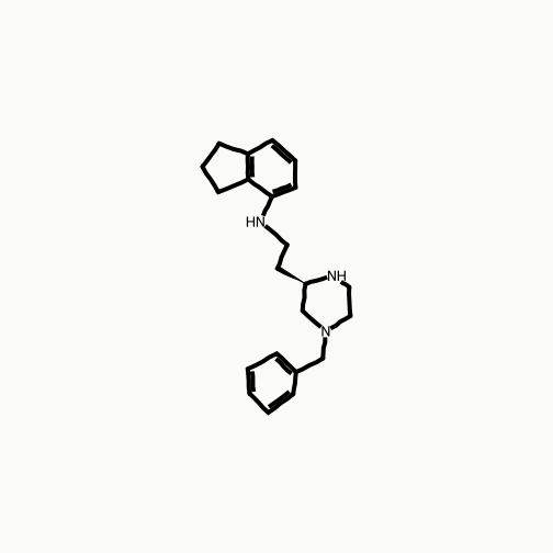 c1ccc(CN2CCN[C@H](CCNc3cccc4c3CCC4)C2)cc1